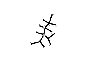 CC(C)[Si](C)(C(C)C)[Si](C)(C)C(C)(C)C